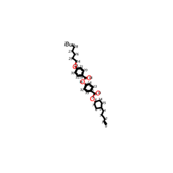 C=CCCCC1CCC(OC(=O)c2ccc(OC(=O)c3ccc(OCCCCCC(C)CC)cc3)cc2)CC1